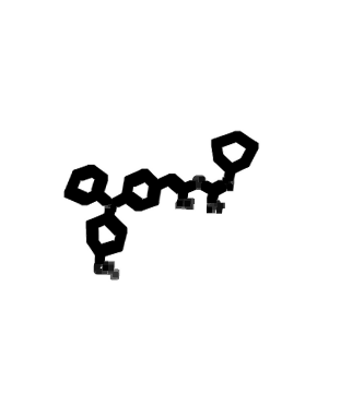 CC(=O)/C(=C\c1ccc(N(c2ccccc2)c2ccc(C)cc2)cc1)O/C(=N\C1CCCCC1)C(C)C